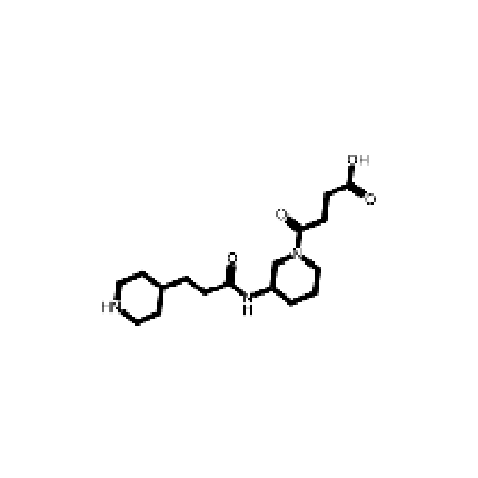 O=C(O)CCC(=O)N1CCCC(NC(=O)CCC2CCNCC2)C1